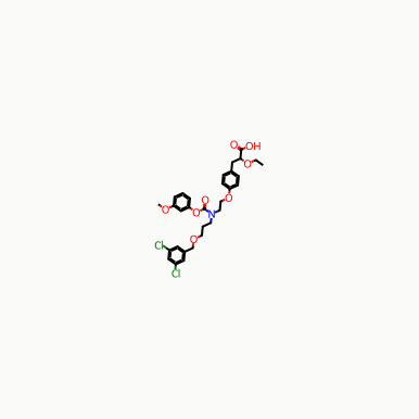 CCOC(Cc1ccc(OCCN(CCCOCc2cc(Cl)cc(Cl)c2)C(=O)Oc2cccc(OC)c2)cc1)C(=O)O